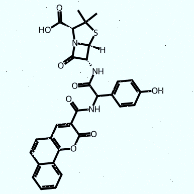 CC1(C)S[C@@H]2[C@H](NC(=O)C(NC(=O)c3cc4ccc5ccccc5c4oc3=O)c3ccc(O)cc3)C(=O)N2[C@H]1C(=O)O